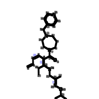 C=C/C=C\C(C(=O)N1CCCN(Cc2ccncc2)CC1)=C(/CC)SC/C(C)=N/OC(C)C